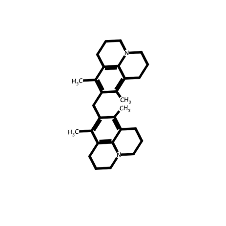 Cc1c(Cc2c(C)c3c4c(c2C)CCCN4CCC3)c(C)c2c3c1CCCN3CCC2